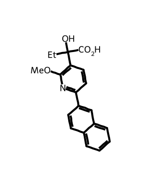 CCC(O)(C(=O)O)c1ccc(-c2ccc3ccccc3c2)nc1OC